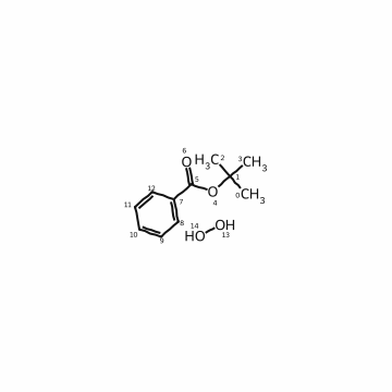 CC(C)(C)OC(=O)c1ccccc1.OO